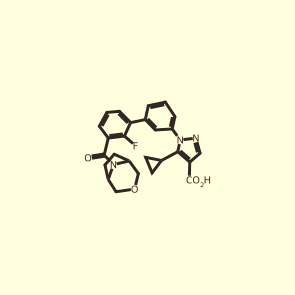 O=C(O)c1cnn(-c2cccc(-c3cccc(C(=O)N4C5CCC4COC5)c3F)c2)c1C1CC1